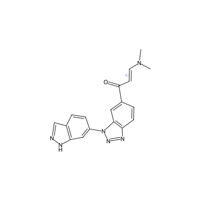 CN(C)/C=C/C(=O)c1ccc2nnn(-c3ccc4cn[nH]c4c3)c2c1